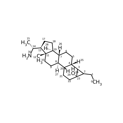 CCC1C2[C@H]3CC[C@@H]4[C@H](CC[C@]5(C)[C@@H]([C@@H](C)N)CC[C@@H]45)[C@H]3CC[C@]12O